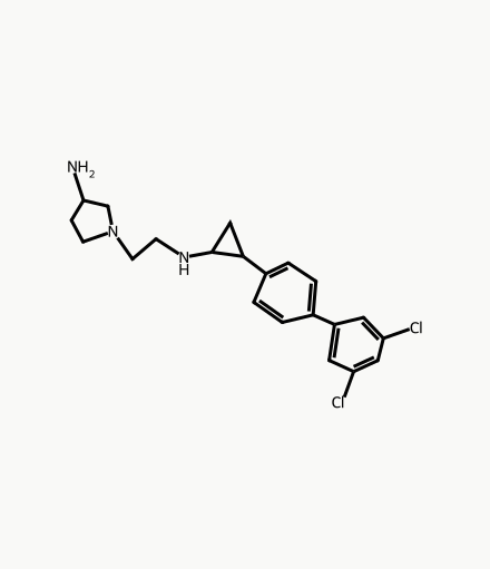 NC1CCN(CCNC2CC2c2ccc(-c3cc(Cl)cc(Cl)c3)cc2)C1